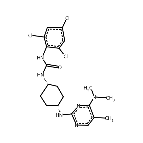 Cc1cnc(N[C@H]2CC[C@@H](NC(=O)Nc3c(Cl)cc(Cl)cc3Cl)CC2)nc1N(C)C